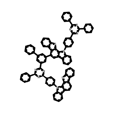 c1ccc(-c2cc(-c3nc(-c4ccccc4)nc(-c4ccc(-n5c6ccccc6c6ccc7c8ccccc8sc7c65)cc4)n3)cc(-c3cc4c5ccccc5n(-c5ccc(-c6nc(-c7ccccc7)nc(-c7ccccc7)n6)cc5)c4c4sc5ccccc5c34)c2)cc1